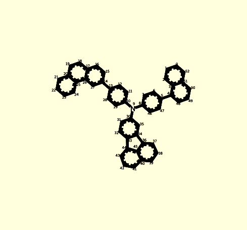 c1ccc2c(-c3ccc(N(c4ccc(-c5ccc6ccc7ccccc7c6c5)cc4)c4ccc5c(c4)-c4cccc6cccc-5c46)cc3)cccc2c1